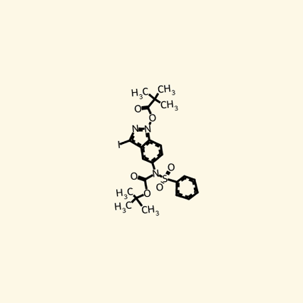 CC(C)(C)OC(=O)N(c1ccc2c(c1)c(I)nn2OC(=O)C(C)(C)C)S(=O)(=O)c1ccccc1